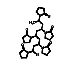 CCC(CC(CC(CC(CC(C)N1CCCC1=O)N1CCCC1=O)N1CCCC1=O)N1CCCC1=O)N1CCCC1=O